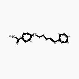 COC(=O)c1ccc(NCCCC=Cc2ccccc2)cc1